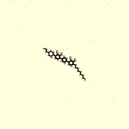 C/C=C/C1CCC(c2ccc(-c3ccc(-c4ccc(CCCCCCCCC)c(F)c4F)cc3)c(F)c2F)CC1